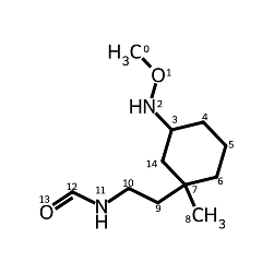 CONC1CCCC(C)(CCNC=O)C1